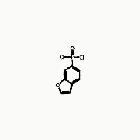 O=P(Cl)(Cl)c1ccc2ccoc2c1